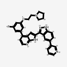 Fc1cc(OCCN2CCCC2)cc(-c2ccnc3[nH]c(-c4n[nH]c5ccc(-c6cccnc6)cc45)cc23)c1